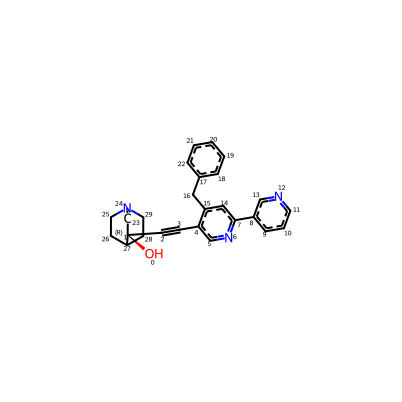 O[C@]1(C#Cc2cnc(-c3cccnc3)cc2Cc2ccccc2)CN2CCC1CC2